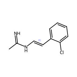 CC(=N)N/C=C/c1ccccc1Cl